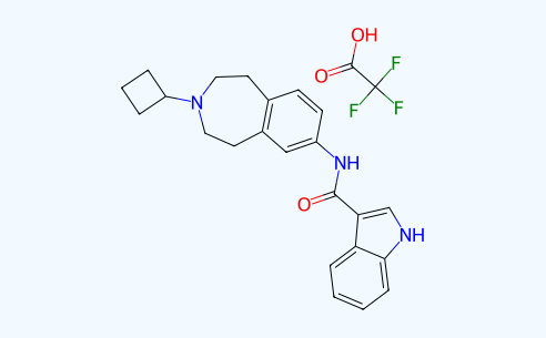 O=C(Nc1ccc2c(c1)CCN(C1CCC1)CC2)c1c[nH]c2ccccc12.O=C(O)C(F)(F)F